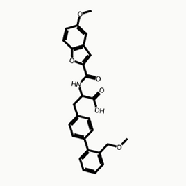 COCc1ccccc1-c1ccc(CC(NC(=O)c2cc3cc(OC)ccc3o2)C(=O)O)cc1